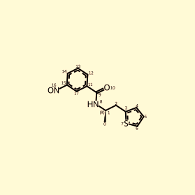 C[C@H](Cc1cccs1)NC(=O)c1cccc(N=O)c1